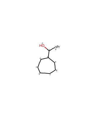 CCCC(O)C1CCCCCC1